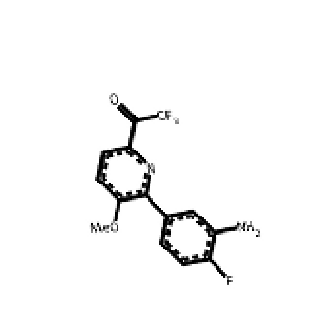 COc1ccc(C(=O)C(F)(F)F)nc1-c1ccc(F)c(N)c1